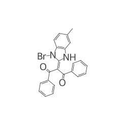 Cc1ccc2c(c1)NC(=C(C(=O)c1ccccc1)C(=O)c1ccccc1)N2Br